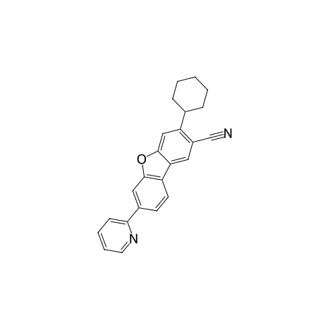 N#Cc1cc2c(cc1C1CCCCC1)oc1cc(-c3ccccn3)ccc12